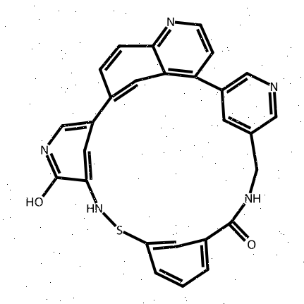 O=C1NCc2cncc(c2)-c2ccnc3ccc(cc23)-c2cnc(O)c(c2)NSc2cccc1c2